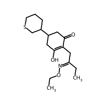 CCON=C(CC)CC1=C(O)CC(C2CCCSC2)CC1=O